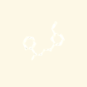 CN(CCOc1cccc(C=O)c1)c1ccccn1